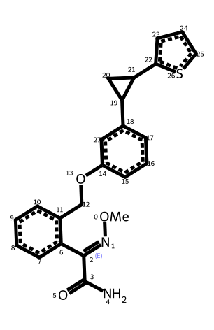 CO/N=C(/C(N)=O)c1ccccc1COc1cccc(C2CC2c2cccs2)c1